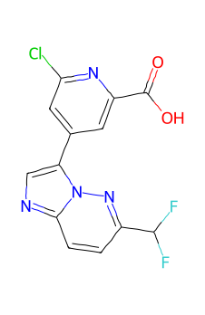 O=C(O)c1cc(-c2cnc3ccc(C(F)F)nn23)cc(Cl)n1